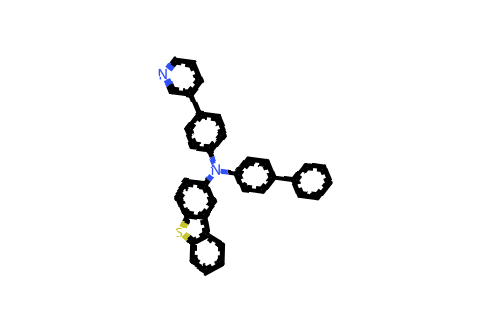 c1ccc(-c2ccc(N(c3ccc(-c4cccnc4)cc3)c3ccc4sc5ccccc5c4c3)cc2)cc1